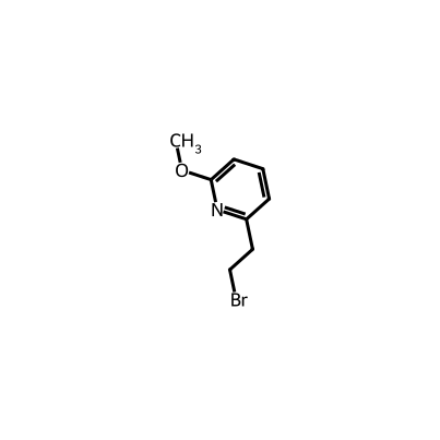 COc1cccc(CCBr)n1